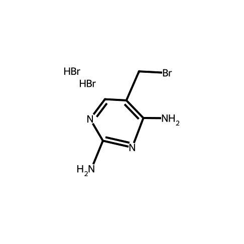 Br.Br.Nc1ncc(CBr)c(N)n1